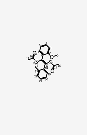 COc1ccccc1/C(SC(C)=O)=C(\SC(C)=O)c1ccccc1C